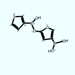 OB(O)c1coc(OB(O)c2ccsc2)c1